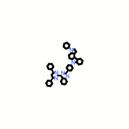 c1ccc(-c2cc(-c3ccccc3)nc(-c3nc(-c4ccc(-n5c6ccccc6c6c7ccn(-c8ccccc8)c7ccc65)cc4)nc4ccccc34)n2)cc1